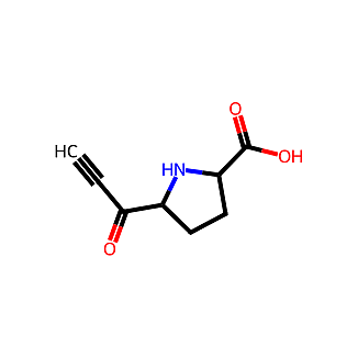 C#CC(=O)C1CCC(C(=O)O)N1